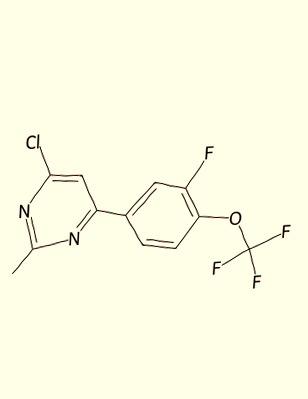 Cc1nc(Cl)cc(-c2ccc(OC(F)(F)F)c(F)c2)n1